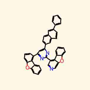 c1ccc(-c2ccc3cc(-c4cc(-c5cccc6oc7ccccc7c56)nc(-c5cncc6oc7ccccc7c56)n4)ccc3c2)cc1